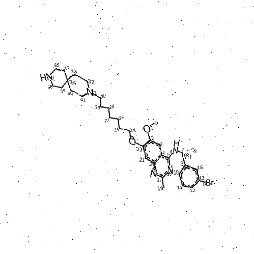 COc1cc2c(N[C@H](C)c3cccc(Br)c3)nc(C)nc2cc1OCCCCCCCN1CCC2(CCNCC2)CC1